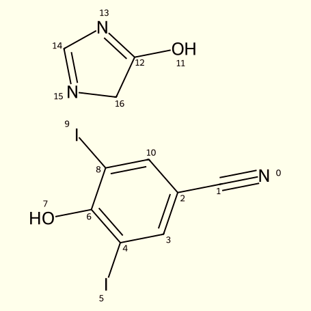 N#Cc1cc(I)c(O)c(I)c1.OC1=NC=NC1